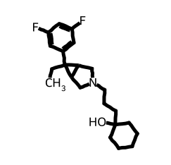 CCC1(c2cc(F)cc(F)c2)C2CN(CCCC3(O)CCCCC3)CC21